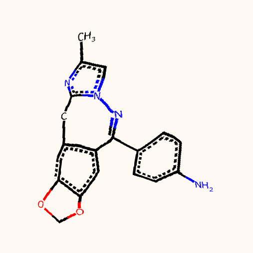 Cc1cn2c(n1)Cc1cc3c(cc1C(c1ccc(N)cc1)=N2)OCO3